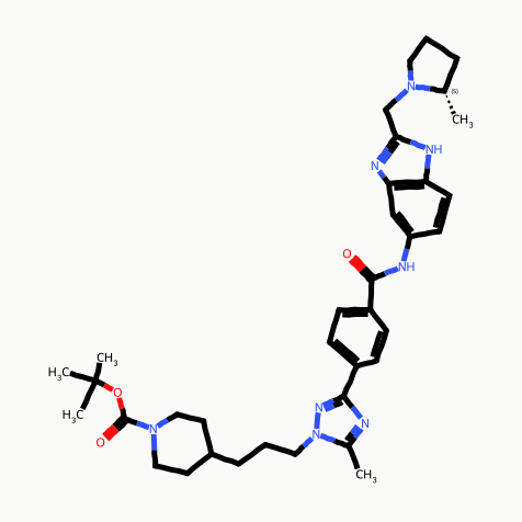 Cc1nc(-c2ccc(C(=O)Nc3ccc4[nH]c(CN5CCC[C@@H]5C)nc4c3)cc2)nn1CCCC1CCN(C(=O)OC(C)(C)C)CC1